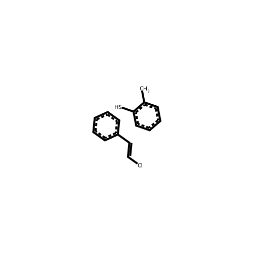 Cc1ccccc1S.ClC=Cc1ccccc1